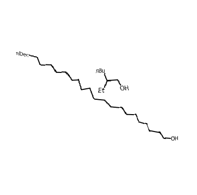 CCCCC(CC)CO.CCCCCCCCCCCCCCCCCCCCCCCCCCCCCCO